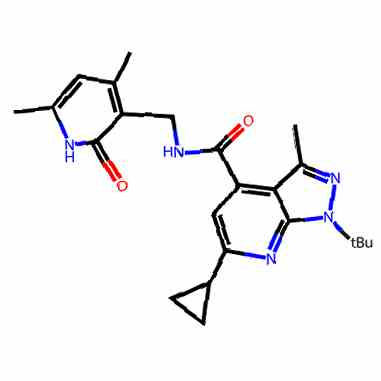 Cc1cc(C)c(CNC(=O)c2cc(C3CC3)nc3c2c(C)nn3C(C)(C)C)c(=O)[nH]1